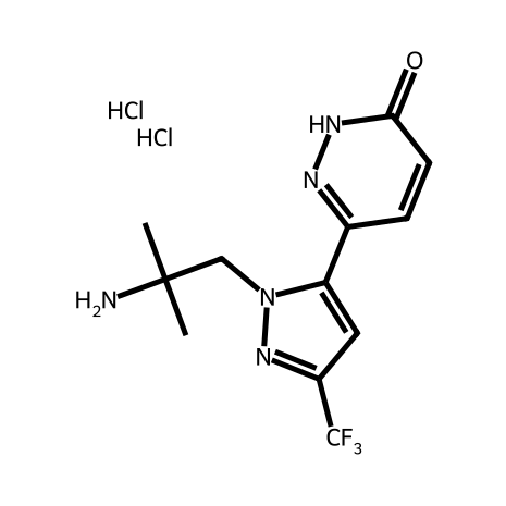 CC(C)(N)Cn1nc(C(F)(F)F)cc1-c1ccc(=O)[nH]n1.Cl.Cl